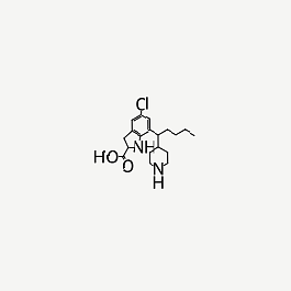 CCCCC(c1cc(Cl)cc2c1NC(C(=O)O)C2)C1CCNCC1